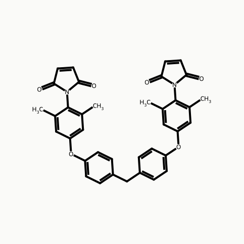 Cc1cc(Oc2ccc(Cc3ccc(Oc4cc(C)c(N5C(=O)C=CC5=O)c(C)c4)cc3)cc2)cc(C)c1N1C(=O)C=CC1=O